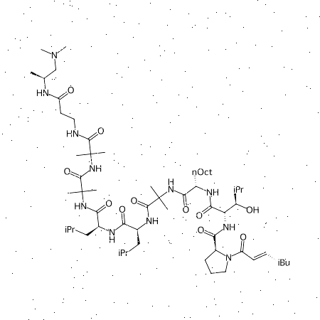 CCCCCCCC[C@H](NC(=O)[C@@H](NC(=O)[C@@H]1CCCN1C(=O)/C=C/[C@@H](C)CC)[C@H](O)C(C)C)C(=O)NC(C)(C)C(=O)N[C@@H](CC(C)C)C(=O)N[C@@H](CC(C)C)C(=O)NC(C)(C)C(=O)NC(C)(C)C(=O)NCCC(=O)N[C@@H](C)CN(C)C